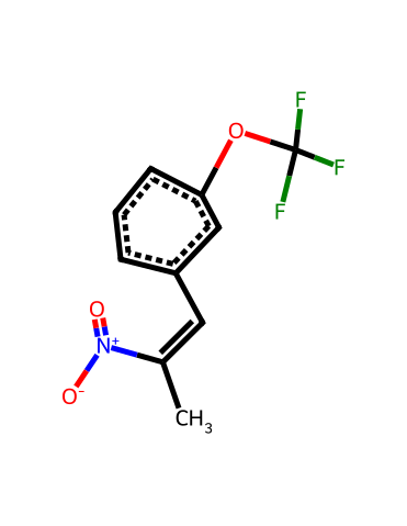 CC(=Cc1cccc(OC(F)(F)F)c1)[N+](=O)[O-]